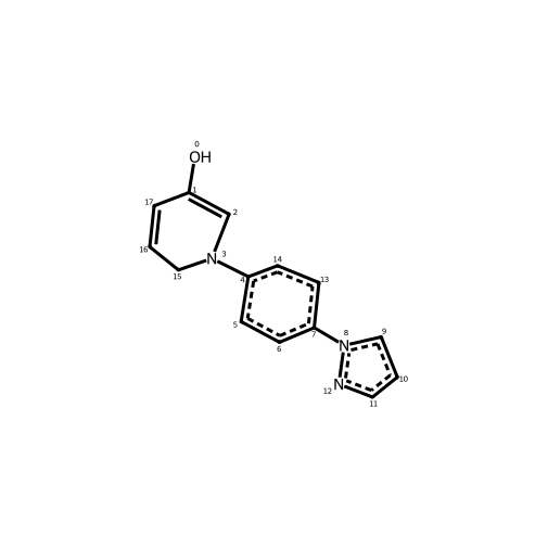 OC1=CN(c2ccc(-n3cccn3)cc2)CC=C1